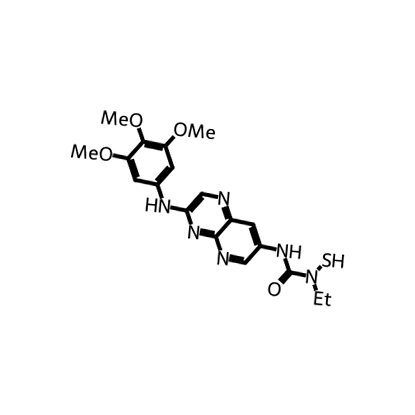 CCN(S)C(=O)Nc1cnc2nc(Nc3cc(OC)c(OC)c(OC)c3)cnc2c1